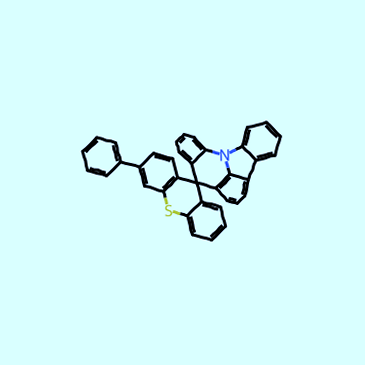 c1ccc(-c2ccc3c(c2)Sc2ccccc2C32c3ccccc3-n3c4ccccc4c4cccc2c43)cc1